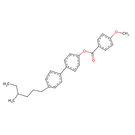 CCC(C)CCCc1ccc(-c2ccc(OC(=O)c3ccc(OC)cc3)cc2)cc1